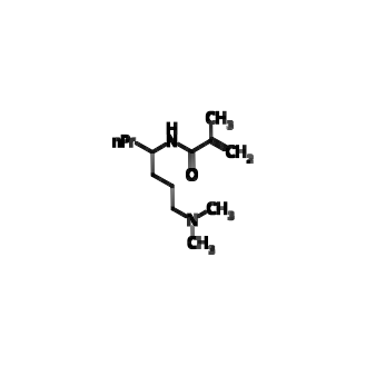 [CH2]CCC(CCCN(C)C)NC(=O)C(=C)C